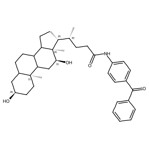 C[C@H](CCC(=O)Nc1ccc(C(=O)c2ccccc2)cc1)[C@H]1CCC2C3CCC4C[C@H](O)CC[C@]4(C)C3C[C@H](O)[C@@]21C